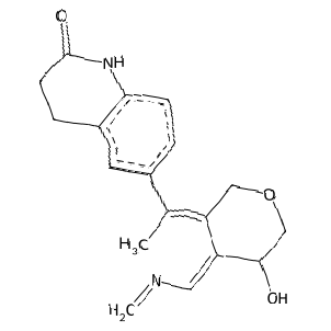 C=N/C=C1\C(=C(/C)c2ccc3c(c2)CCC(=O)N3)COCC1O